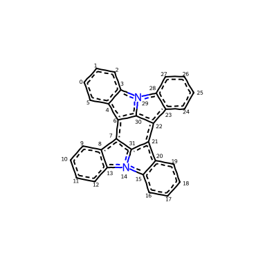 c1ccc2c(c1)c1c3c4ccccc4n4c5ccccc5c(c5c6ccccc6n2c15)c34